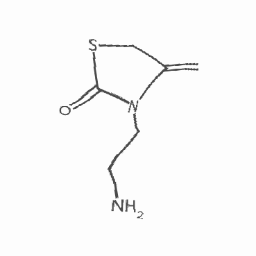 C=C1CSC(=O)N1CCN